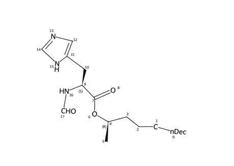 CCCCCCCCCCCCC[C@@H](C)OC(=O)[C@H](Cc1cnc[nH]1)NC=O